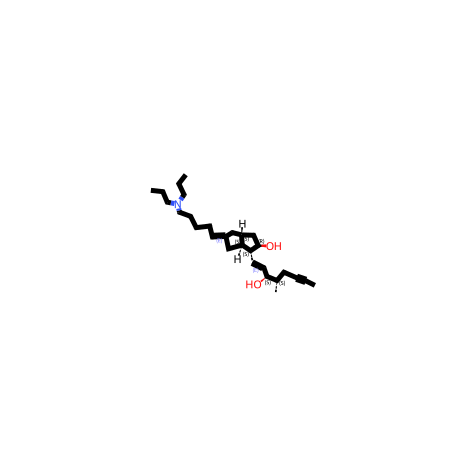 CC#CC[C@H](C)[C@H](O)/C=C/[C@@H]1[C@H]2C/C(=C/CCCCN(CCC)CCC)C[C@H]2C[C@H]1O